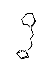 [CH]1CCN(CCCn2cccn2)CC1